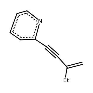 C=C(C#Cc1ccccn1)CC